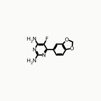 Nc1nc(N)c(F)c(-c2ccc3c(c2)OCO3)n1